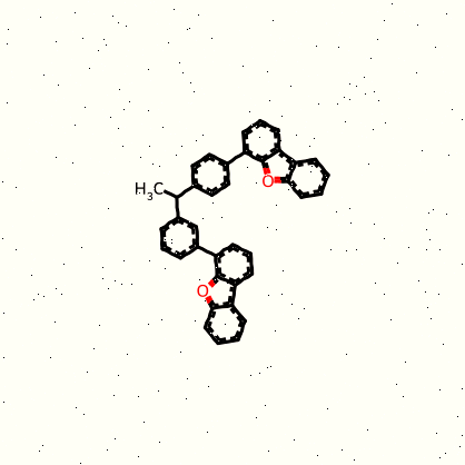 CC(c1ccc(-c2cccc3c2oc2ccccc23)cc1)c1cccc(-c2cccc3c2oc2ccccc23)c1